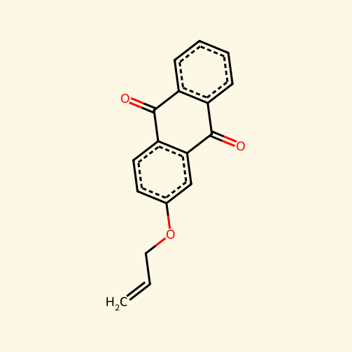 C=CCOc1ccc2c(c1)C(=O)c1ccccc1C2=O